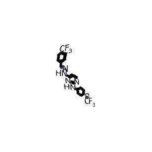 FC(F)(F)Oc1ccc(Nc2nccc(N/N=C/c3ccc(C(F)(F)F)cc3)n2)cc1